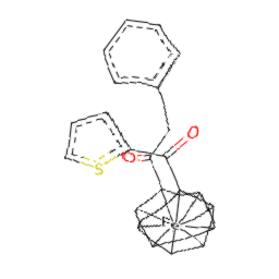 O=C(Cc1ccccc1)[C]12[CH]3[CH]4[CH]5[CH]1[Fe]45321678[CH]2[CH]1[CH]6[C]7(C(=O)c1cccs1)[CH]28